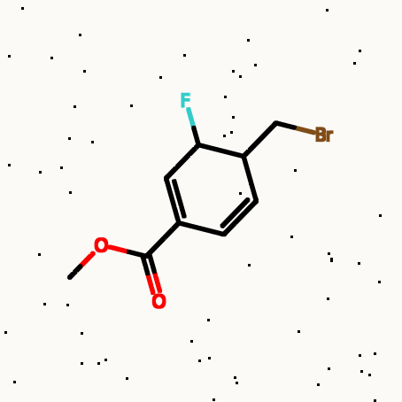 COC(=O)C1=CC(F)C(CBr)C=C1